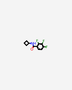 O=C(NC1CCC1)c1ccc(F)c(F)c1F